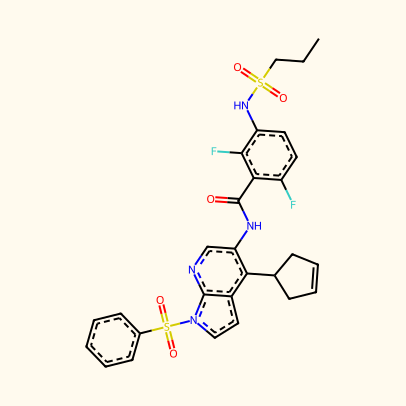 CCCS(=O)(=O)Nc1ccc(F)c(C(=O)Nc2cnc3c(ccn3S(=O)(=O)c3ccccc3)c2C2CC=CC2)c1F